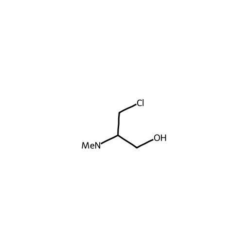 CNC(CO)CCl